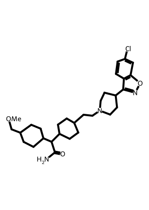 COCC1CCC(C(C(N)=O)C2CCC(CCN3CCC(c4noc5cc(Cl)ccc45)CC3)CC2)CC1